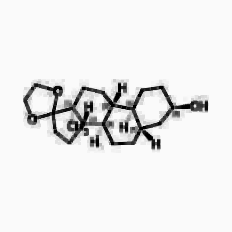 C[C@]12CC[C@H]3[C@@H](CC[C@H]4C[C@H](O)CC[C@@H]43)[C@@H]1CCC21OCCO1